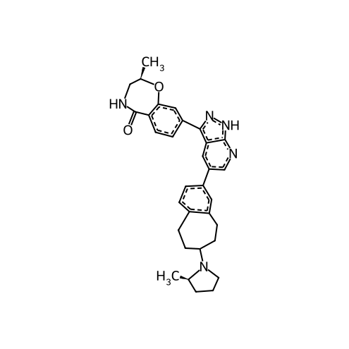 C[C@@H]1CNC(=O)c2ccc(-c3n[nH]c4ncc(-c5ccc6c(c5)CCC(N5CCC[C@H]5C)CC6)cc34)cc2O1